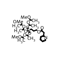 COC(C)OC(C)O[Si](CCCOC(=O)Cc1ccccn1)(OC(C)OC(C)OC)OC(C)OC(C)OC